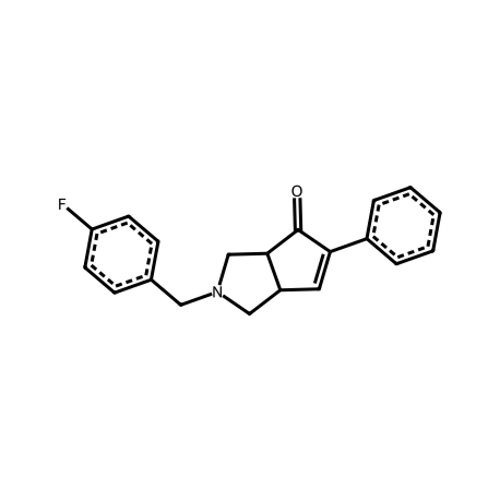 O=C1C(c2ccccc2)=CC2CN(Cc3ccc(F)cc3)CC12